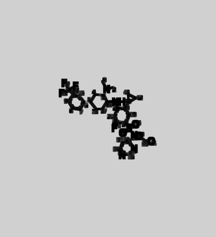 CN(C)[C@H]1C[C@@H](c2cccc(C(F)(F)F)c2)CC[C@@H]1Nc1cc(F)c(S(=O)(=O)N(OC=O)c2ccncn2)cc1C1CC1